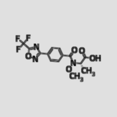 CON(C(=O)c1ccc(-c2noc(C(F)(F)F)n2)cc1)[C@@H](C)C(=O)O